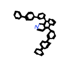 c1ccc(-c2ccc(-c3cccc(-c4c5ccccc5c(-c5cccc(-c6ccc(-c7ccccc7)cc6)c5)c5cnccc45)c3)cc2)cc1